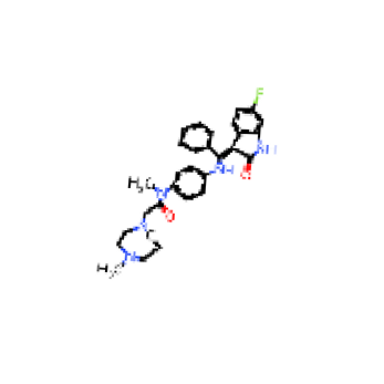 CN1CCCN(CC(=O)N(C)c2ccc(N/C(=C3\C(=O)Nc4cc(F)ccc43)c3ccccc3)cc2)CC1